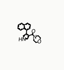 O=C(c1c[nH]cc1-c1cccc2ccccc12)N1CCOCC1